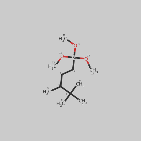 CO[Si](CCC(C)C(C)(C)C)(OC)OC